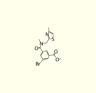 COC(=O)c1cc(Br)cc(C(=O)N(C)Cc2nc(C)cs2)c1